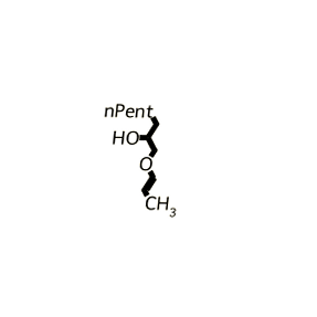 CC=COCC(O)CCCCCC